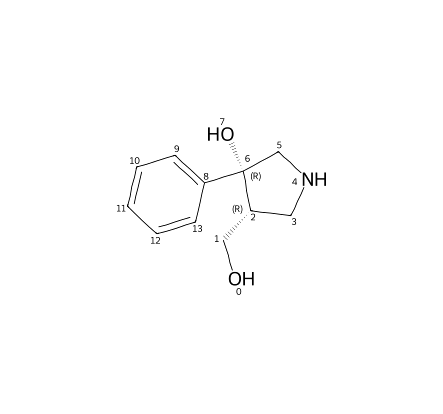 OC[C@H]1CNC[C@]1(O)c1ccccc1